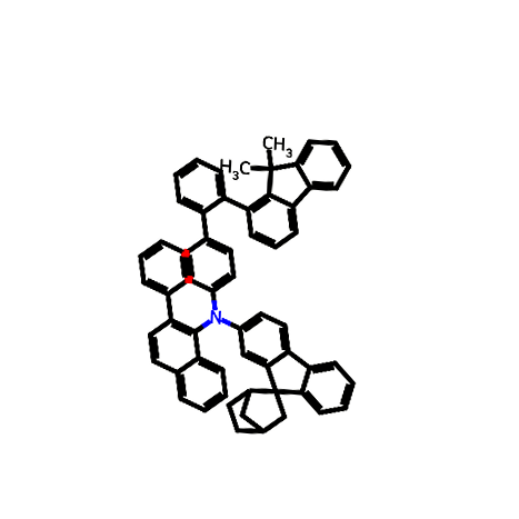 CC1(C)c2ccccc2-c2cccc(-c3ccccc3-c3ccc(N(c4ccc5c(c4)C4(CC6CCC4C6)c4ccccc4-5)c4c(-c5ccccc5)ccc5ccccc45)cc3)c21